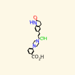 Cl.O=C1CCc2cc(C=CCN3CCN(c4cccc(C(=O)O)c4)CC3)ccc2N1